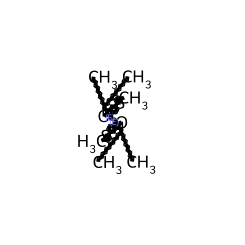 CCCCCCCCCCCCC(CCCCCCCCCC)CN1C(=O)/C(=C/C=C2/C(=O)N(CC(CCCCCCCCCC)CCCCCCCCCCCC)c3cc(-c4ccc(C)s4)ccc32)c2ccc(-c3ccc(C)s3)cc21